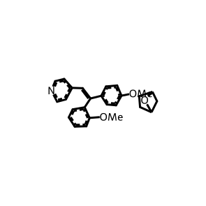 C1CC2CC1O2.COc1ccc(C(=Cc2ccncc2)c2ccccc2OC)cc1